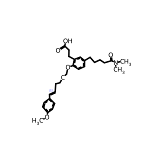 COc1ccc(/C=C/CCCCOc2ccc(CCCCC(=O)N(C)C)cc2CCC(=O)O)cc1